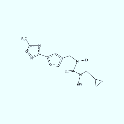 CCCN(CC1CC1)C(=O)N(CC)Cc1ccc(-c2noc(C(F)(F)F)n2)s1